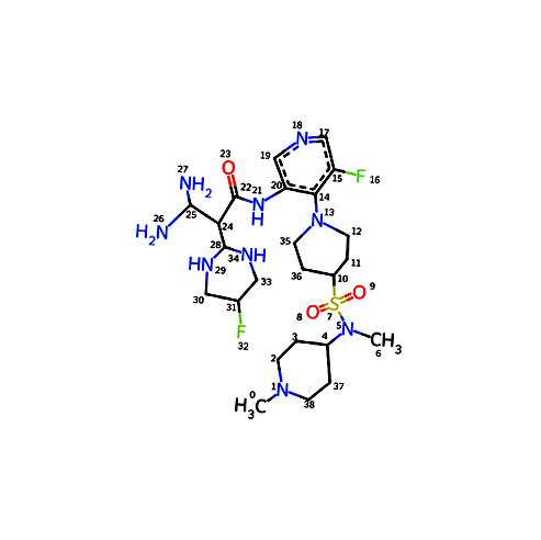 CN1CCC(N(C)S(=O)(=O)C2CCN(c3c(F)cncc3NC(=O)C(C(N)N)C3NCC(F)CN3)CC2)CC1